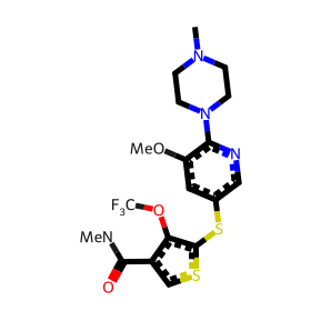 CNC(=O)c1csc(Sc2cnc(N3CCN(C)CC3)c(OC)c2)c1OC(F)(F)F